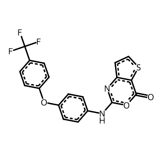 O=c1oc(Nc2ccc(Oc3ccc(C(F)(F)F)cc3)cc2)nc2ccsc12